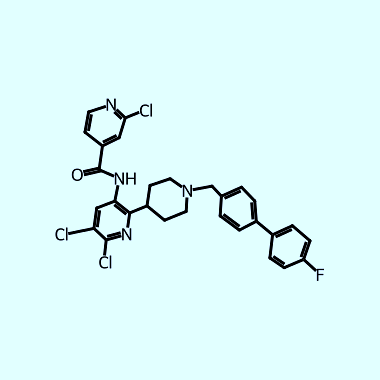 O=C(Nc1cc(Cl)c(Cl)nc1C1CCN(Cc2ccc(-c3ccc(F)cc3)cc2)CC1)c1ccnc(Cl)c1